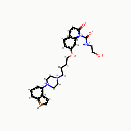 O=C(NCCO)n1c(=O)ccc2ccc(OCCCCN3CCN(c4cccc5sccc45)CC3)cc21